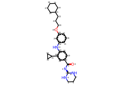 O=C(N=C1NCCCN1)c1ccc(Nc2cccc(OCCCC3CCCCC3)c2)c(C2CC2)c1